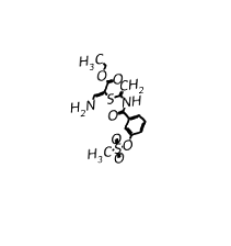 C=C(NC(=O)c1cccc(OS(C)(=O)=O)c1)S/C(=C\N)C(=O)OCC